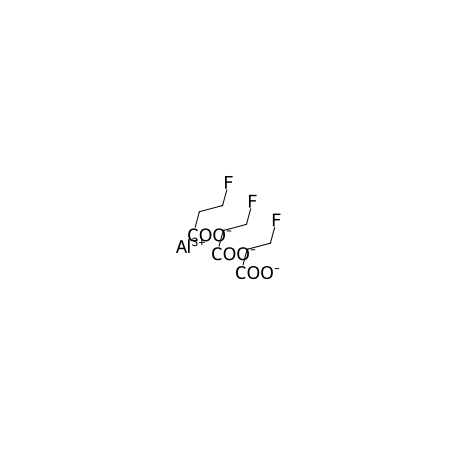 O=C([O-])CCF.O=C([O-])CCF.O=C([O-])CCF.[Al+3]